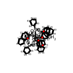 C=C[Si]1(c2ccccc2)O[Si]2(c3ccccc3)O[Si]3(c4ccccc4)O[Si]4(c5ccccc5)O[Si](C=C)(c5ccccc5)O[Si]5(c6ccccc6)O[Si](c6ccccc6)(O[Si](c6ccccc6)(O1)O[Si](c1ccccc1)(O5)O[Si](c1ccccc1)(O2)O4)O3